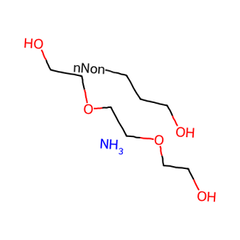 CCCCCCCCCCCCO.N.OCCOCCOCCO